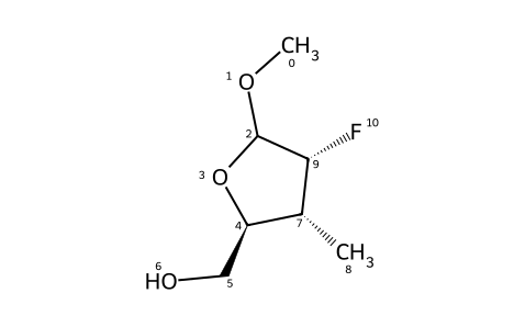 COC1O[C@H](CO)[C@@H](C)[C@H]1F